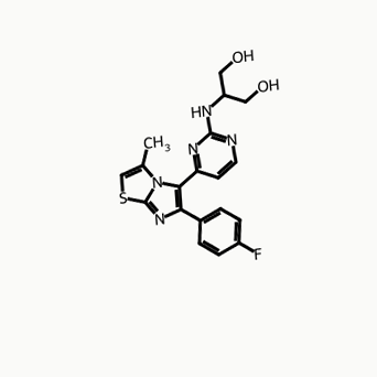 Cc1csc2nc(-c3ccc(F)cc3)c(-c3ccnc(NC(CO)CO)n3)n12